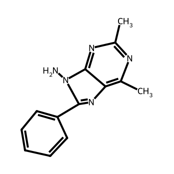 Cc1nc(C)c2nc(-c3ccccc3)n(N)c2n1